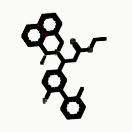 CCOC(=O)CC(c1ccc(F)c(-c2ccccc2C)c1)N(Cc1ccccc1)[C@H](C)c1ccccc1